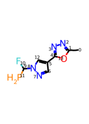 Cc1nnc(-c2cnn(C(F)P)c2)o1